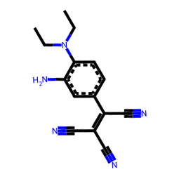 CCN(CC)c1ccc(C(C#N)=C(C#N)C#N)cc1N